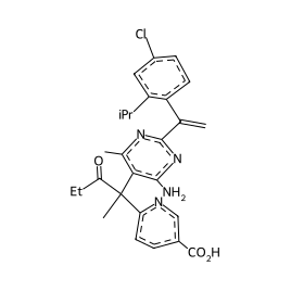 C=C(c1nc(C)c(C(C)(C(=O)CC)c2ccc(C(=O)O)cn2)c(N)n1)c1ccc(Cl)cc1C(C)C